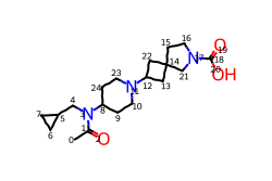 CC(=O)N(CC1CC1)C1CCN(C2CC3(CCN(C(=O)O)C3)C2)CC1